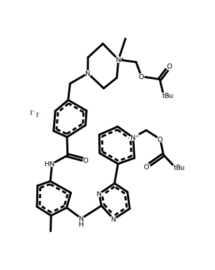 Cc1ccc(NC(=O)c2ccc(CN3CC[N+](C)(COC(=O)C(C)(C)C)CC3)cc2)cc1Nc1nccc(-c2ccc[n+](COC(=O)C(C)(C)C)c2)n1.[I-].[I-]